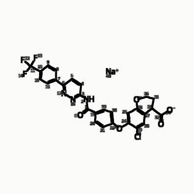 O=C(Nc1ccc(-c2ccc(C(F)(F)F)cc2)nn1)c1ccc(Oc2cc3c(cc2Cl)C(C(=O)[O-])CCO3)cc1.[Na+]